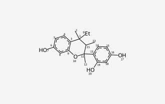 CCC1(C)c2ccc(O)cc2OC(C)(c2ccc(O)cc2O)C1C